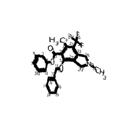 Cc1c(C(=O)Oc2ccccc2)c(OCc2ccccc2)c2c(c1C(F)(F)F)CN(C)C2